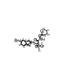 C[C@](CCn1cc2cc(Br)ccc2n1)(C(=O)NO[C@H]1CCCCO1)S(C)(=O)=O